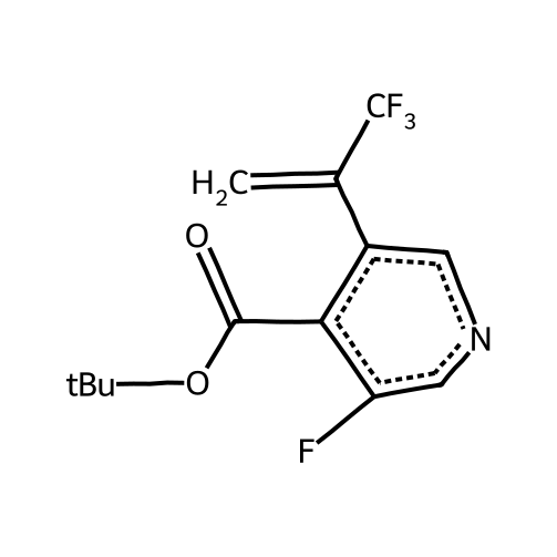 C=C(c1cncc(F)c1C(=O)OC(C)(C)C)C(F)(F)F